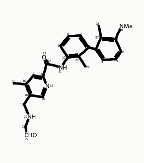 CNc1cccc(-c2cccc(NC(=O)c3cc(C)c(CNCC=O)cn3)c2C)c1C